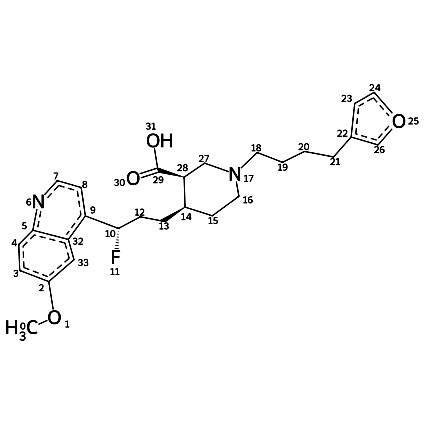 COc1ccc2nccc([C@@H](F)CC[C@@H]3CCN(CCCCc4ccoc4)C[C@@H]3C(=O)O)c2c1